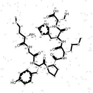 CSCC[C@H](NC(=O)[C@@H]1CCCN1C(=O)[C@H](Cc1ccc(O)cc1)NC(=O)CNC(=O)[C@@H](N)CCSC)C(=O)N[C@@H](Cc1c[nH]cn1)C(=O)N[C@@H](CS)C(=O)O